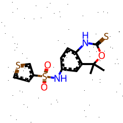 CC1(C)OC(=S)Nc2ccc(NS(=O)(=O)c3ccsc3)cc21